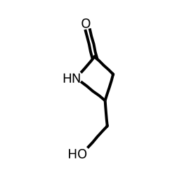 O=C1CC(CO)N1